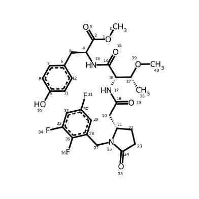 COC(=O)[C@H](Cc1ccc(O)cc1)NC(=O)[C@@H](NC(=O)C[C@@H]1CCC(=O)N1Cc1cc(F)cc(F)c1F)[C@@H](C)OC